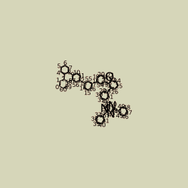 C1=CC2c3ccccc3-c3ccc(-c4cccc(-c5ccc6oc7cccc(-c8cccc(-c9nc(-c%10ccccc%10)nc(-c%10ccccc%10)n9)c8)c7c6c5)c4)cc3C2C=C1